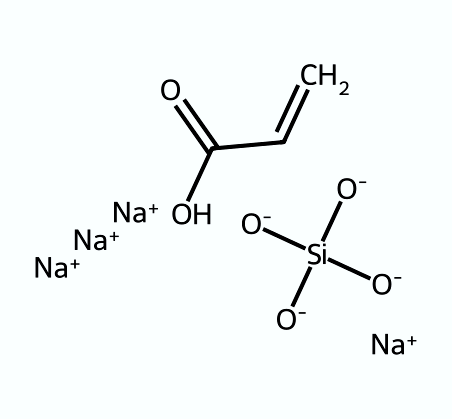 C=CC(=O)O.[Na+].[Na+].[Na+].[Na+].[O-][Si]([O-])([O-])[O-]